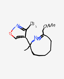 COC1=NC(C)(c2conc2C(F)(F)F)CCCC1